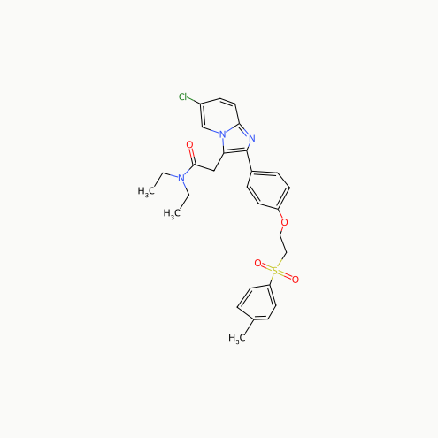 CCN(CC)C(=O)Cc1c(-c2ccc(OCCS(=O)(=O)c3ccc(C)cc3)cc2)nc2ccc(Cl)cn12